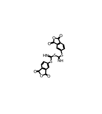 N=C(SC(=N)Sc1ccc2c(c1)C(=O)OC2=O)Sc1ccc2c(c1)C(=O)OC2=O